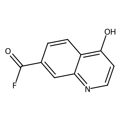 O=C(F)c1ccc2c(O)ccnc2c1